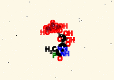 Cc1c(F)c(=O)[nH]c2nc(=O)c([C@@H]3O[C@H](COP(=O)(O)OP(=O)(O)OP(=O)(O)O)C(O)[C@@H]3O)cn12